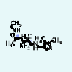 CCNO/C(C)=C/C(N)/C(C)=C/NCc1cnn(C)c1C